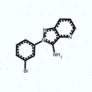 Nc1c2ncccc2nn1-c1cccc(Br)c1